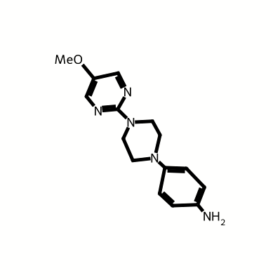 COc1cnc(N2CCN(c3ccc(N)cc3)CC2)nc1